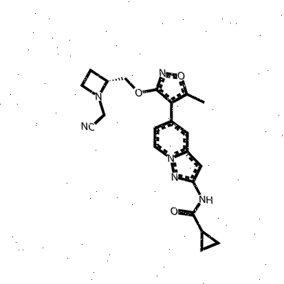 Cc1onc(OC[C@H]2CCN2CC#N)c1-c1ccn2nc(NC(=O)C3CC3)cc2c1